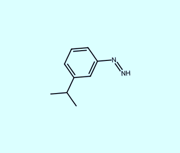 CC(C)c1cccc(N=N)c1